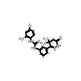 Cc1cc(Cl)ccc1NC(=O)Nc1cccc(C2=NNC(=O)CC2(C)C)c1